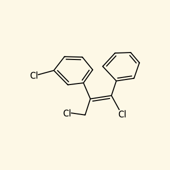 ClC/C(=C(\Cl)c1ccccc1)c1cccc(Cl)c1